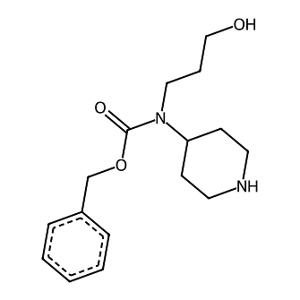 O=C(OCc1ccccc1)N(CCCO)C1CCNCC1